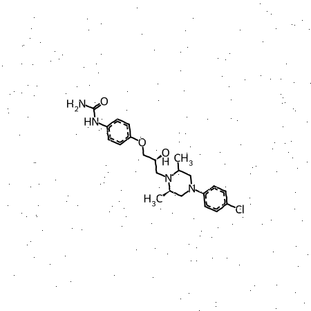 CC1CN(c2ccc(Cl)cc2)C[C@@H](C)N1C[C@H](O)COc1ccc(NC(N)=O)cc1